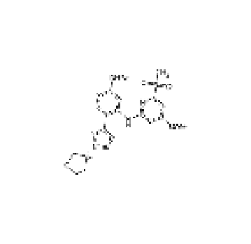 COc1cc(Nc2cc(NC(C)=O)ncc2-c2ccn([C@@H]3CCOC3)n2)nc(S(C)(=O)=O)c1